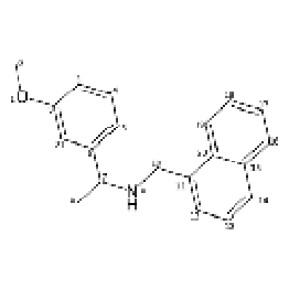 COc1cccc(C(C)NCc2cccc3ccccc23)c1